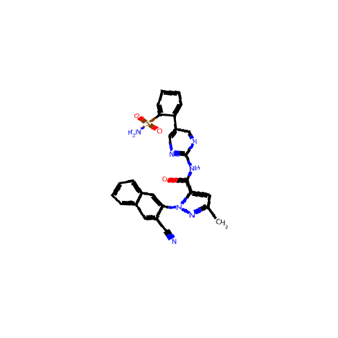 Cc1cc(C(=O)Nc2ncc(-c3ccccc3S(N)(=O)=O)cn2)n(-c2cc3ccccc3cc2C#N)n1